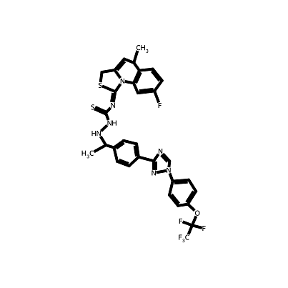 CC1C=C2CS/C(=N\C(=S)NNC(C)c3ccc(-c4ncn(-c5ccc(OC(F)(F)C(F)(F)F)cc5)n4)cc3)N2c2cc(F)ccc21